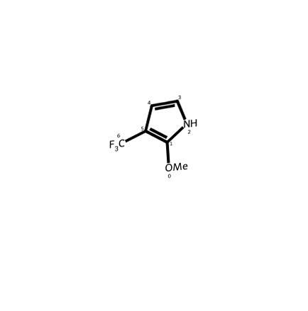 COc1[nH]ccc1C(F)(F)F